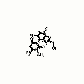 Cn1c(C(F)(F)F)cc(=O)n(-c2c(F)cc(Cl)c3oc(CO)cc23)c1=O